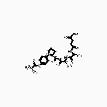 COC(=O)CCC(=O)N[C@@H](C)C(=O)N[C@@H](C)C(=O)NC(=O)[C@@H]1CCCN1c1ccc(OC(=O)N(C)C)cc1